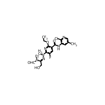 CCN(C=O)/C(CO)=N\N(C)c1nc(OCC(F)(F)F)c(C(=O)Nc2cc(C)cnc2Cl)cc1F